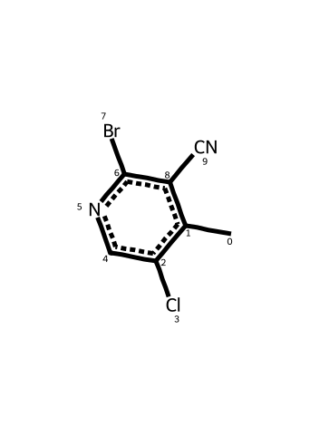 Cc1c(Cl)cnc(Br)c1C#N